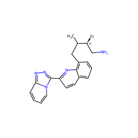 CC[C@@H](CN)C(C)Cc1cccc2ccc(-c3nnc4ccccn34)nc12